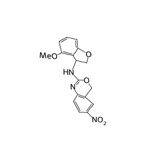 COc1cccc2c1C(NC1=Nc3ccc([N+](=O)[O-])cc3CO1)CO2